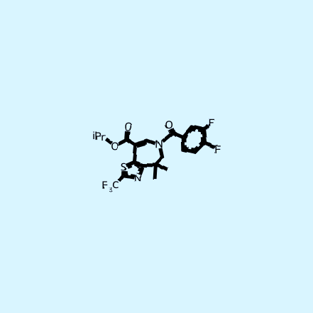 CC(C)OC(=O)C1=CN(C(=O)c2ccc(F)c(F)c2)CC(C)(C)c2nc(C(F)(F)F)sc21